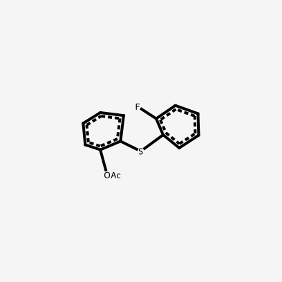 CC(=O)Oc1ccccc1Sc1ccccc1F